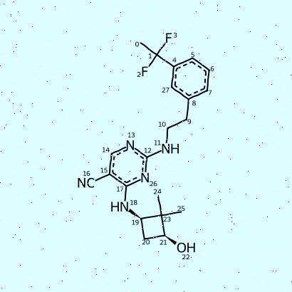 CC(F)(F)c1cccc(CCNc2ncc(C#N)c(N[C@@H]3C[C@H](O)C3(C)C)n2)c1